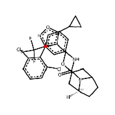 O=C(Nc1cccc(C(F)(F)F)c1)N1C2CC[C@H]1CC(OCc1c(-c3c(Cl)cccc3Cl)noc1C1CC1)C2